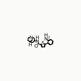 Nc1ccccc1-c1ccc(C(=O)N[C@@H]2C[C@H]3CCN(C3)C2)s1